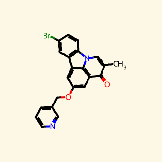 Cc1cn2c3ccc(Br)cc3c3cc(OCc4cccnc4)cc(c1=O)c32